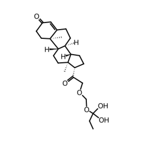 CCC(O)(O)OCOCC(=O)[C@H]1CC[C@H]2[C@@H]3CCC4=CC(=O)CC[C@]4(C)[C@H]3CC[C@]12C